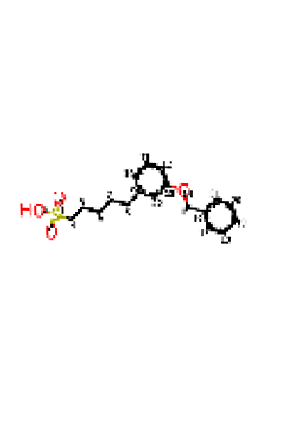 O=S(=O)(O)CCCCCc1cccc(OCc2ccccc2)c1